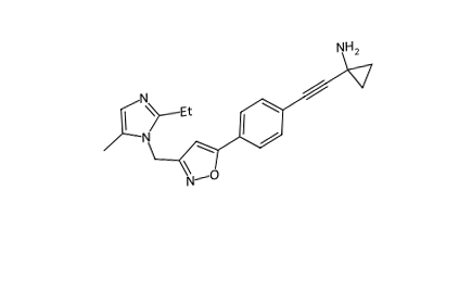 CCc1ncc(C)n1Cc1cc(-c2ccc(C#CC3(N)CC3)cc2)on1